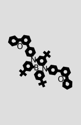 CC(C)(C)c1ccc2c(c1)B1c3ccc(C(C)(C)C)cc3N(c3ccc(-c4cccc5c4oc4ccccc45)cc3)c3cc(C(C)(C)C)cc(c31)N2c1ccc(-c2cccc3c2oc2ccccc23)cc1